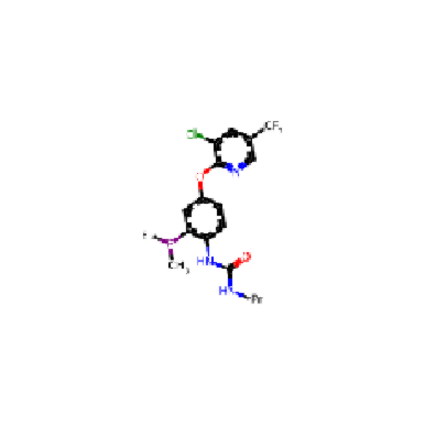 CCP(C)c1cc(Oc2ncc(C(F)(F)F)cc2Cl)ccc1NC(=O)NC(C)C